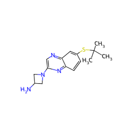 CC(C)(C)Sc1ccc2nc(N3CC(N)C3)cnc2c1